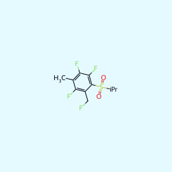 Cc1c(F)c(F)c(S(=O)(=O)C(C)C)c(CF)c1F